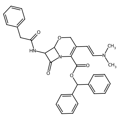 CN(C)C=CC1=C(C(=O)OC(c2ccccc2)c2ccccc2)N2C(=O)C(NC(=O)Cc3ccccc3)C2OC1